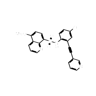 COc1ccc(S(=O)(=O)Nc2ccc(Cl)cc2C#Cc2cccnc2)c2ncccc12